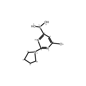 OB(O)c1cc(Cl)nc(N2CCCC2)n1